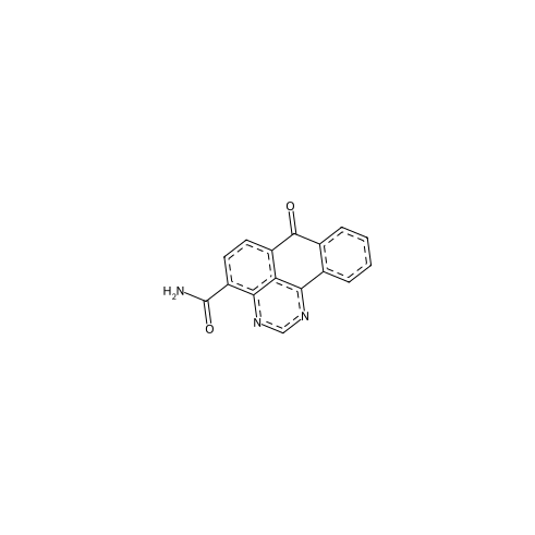 NC(=O)c1ccc2c3c(ncnc13)-c1ccccc1C2=O